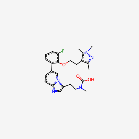 Cc1nn(C)c(C)c1CCOc1c(F)cccc1-c1ccc2ncc(CCN(C)C(=O)O)n2c1